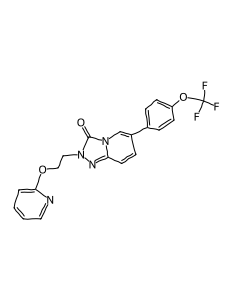 O=c1n(CCOc2ccccn2)nc2ccc(-c3ccc(OC(F)(F)F)cc3)cn12